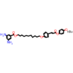 CCCCOc1ccc(OC(=O)C=Cc2ccc(OCCCCCCCCCCCOC(=O)c3cc(N)cc(N)c3)cc2)cc1